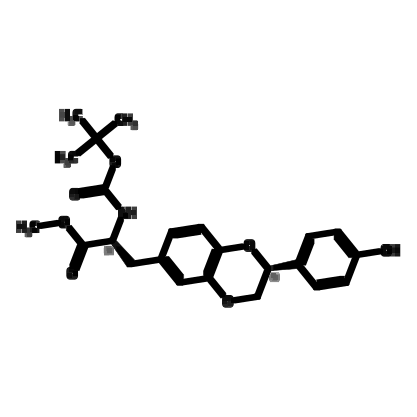 COC(=O)[C@H](Cc1ccc2c(c1)OC[C@H](c1ccc(O)cc1)O2)NC(=O)OC(C)(C)C